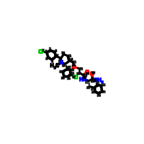 CN1C(c2ccc(Cl)cc2)CC=C(COCCC(=O)N[C@@H](Cc2ccccc2)C(N)=O)[C@@H]1c1cccc(Cl)c1